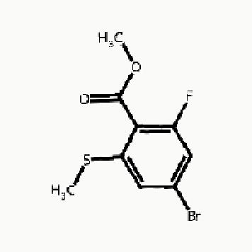 COC(=O)c1c(F)cc(Br)cc1SC